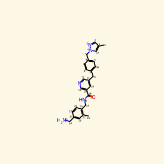 Cc1cnn(Cc2ccc(Cc3cncc(C(=O)NCc4ccc(CN)cc4C)c3)cc2)c1